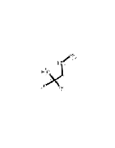 CC(C)(F)CBP